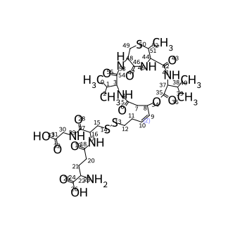 CC(C)C1NC(=O)CC(/C=C\CCSSCC(NC(=O)CCC(N)C(=O)O)C(=O)NCC(=O)O)OC(=O)C(C(C)C)NC(=O)C2NC(=O)C(CSC2C)NC1=O